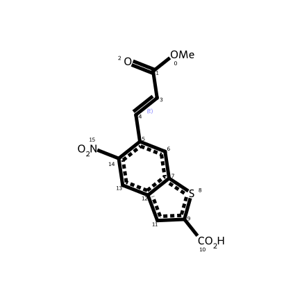 COC(=O)/C=C/c1cc2sc(C(=O)O)cc2cc1[N+](=O)[O-]